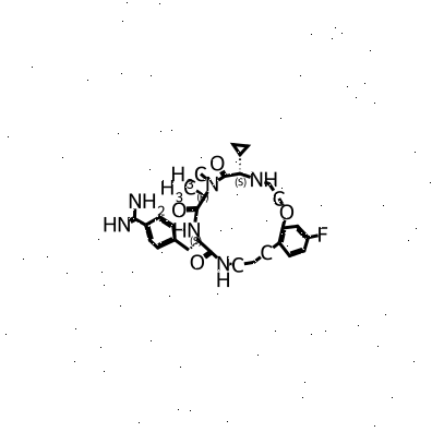 C[C@@H]1C(=O)N[C@@H](Cc2ccc(C(=N)N)cc2)C(=O)NCCCc2ccc(F)cc2OCCN[C@@H](C2CC2)C(=O)N1C